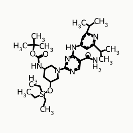 CC[Si](CC)(CC)O[C@H]1C[C@@H](NC(=O)OC(C)(C)C)CN(c2ncc(C(N)=O)c(Nc3cc(C(C)C)nc(C(C)C)c3)n2)C1